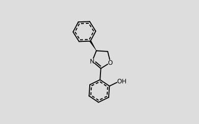 Oc1ccccc1C1=N[C@@H](c2ccccc2)CO1